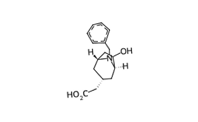 O=C(O)C[C@@H]1C[C@@H]2CC(O)[C@@H](C1)N2Cc1ccccc1